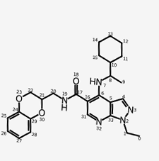 CCn1ncc2c(NC(C)C3CCCCC3)c(C(=O)NCC3COc4ccccc4O3)cnc21